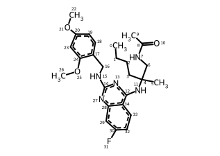 CCCCC(C)(CNC(C)=O)Nc1nc(NCc2ccc(OC)cc2OC)nc2cc(F)ccc12